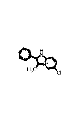 [CH2-]C1=[N+]2C=C(Cl)C=CC2NC1c1ccccc1